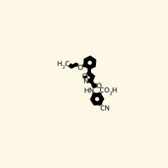 C=CCOc1ccccc1-c1cc(C(=O)Nc2ccc(C#N)cc2C(=O)O)no1